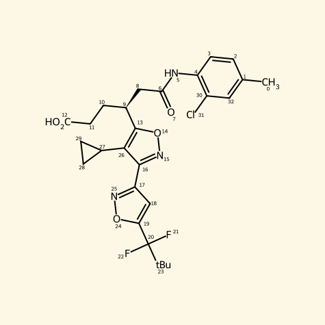 Cc1ccc(NC(=O)C[C@H](CCC(=O)O)c2onc(-c3cc(C(F)(F)C(C)(C)C)on3)c2C2CC2)c(Cl)c1